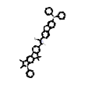 [2H]/C(=C(/[2H])c1ccc2c(c1)C(C)(C)c1cc3c(cc1-2)c(C)c(C)n3-c1ccccc1)c1ccc2c(c1)Cc1cc(N(c3ccccc3)c3ccccc3)ccc1-2